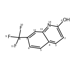 Oc1ccc2ccc(C(F)(F)F)cc2n1